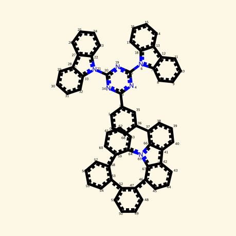 c1cc(-c2nc(-n3c4ccccc4c4ccccc43)nc(-n3c4ccccc4c4ccccc43)n2)cc(-c2cccc3c4cccc5c6ccccc6c6ccccc6c6ccccc6n(c23)c54)c1